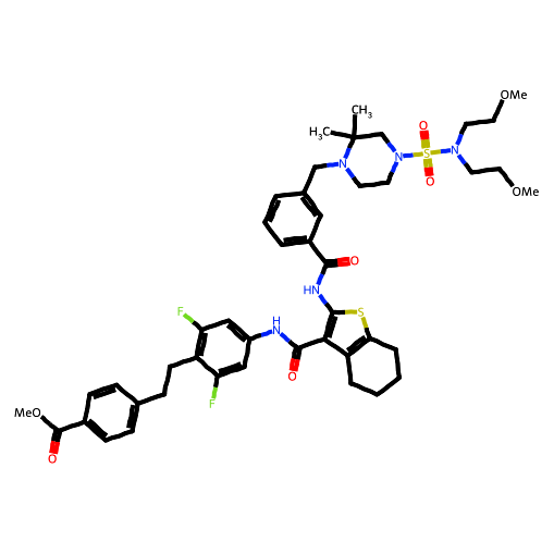 COCCN(CCOC)S(=O)(=O)N1CCN(Cc2cccc(C(=O)Nc3sc4c(c3C(=O)Nc3cc(F)c(CCc5ccc(C(=O)OC)cc5)c(F)c3)CCCC4)c2)C(C)(C)C1